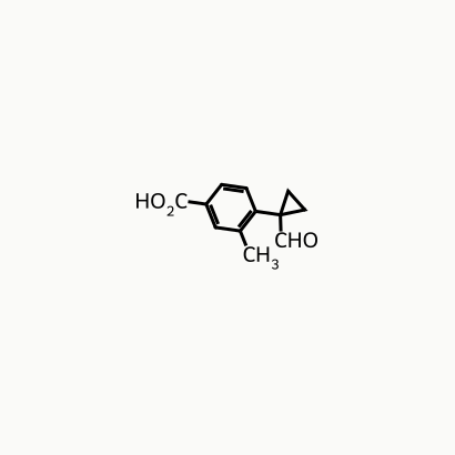 Cc1cc(C(=O)O)ccc1C1(C=O)CC1